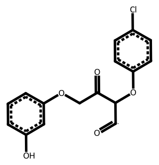 O=[C]C(Oc1ccc(Cl)cc1)C(=O)COc1cccc(O)c1